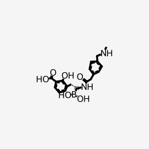 CNCc1ccc(CC(=O)N[C@@H](Cc2cccc(C(=O)O)c2O)B(O)O)cc1